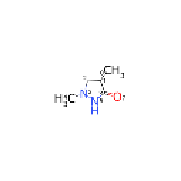 CC1CN(C)NC1=O